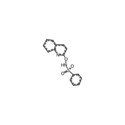 O=S(=O)(NOc1ccc2ccccc2n1)c1ccccc1